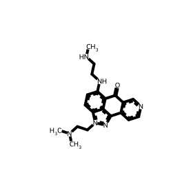 CNCCNc1ccc2c3c(nn2CCN(C)C)-c2ccncc2C(=O)c13